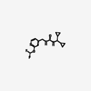 O=C(NCc1ccnc(OC(F)F)c1)NC(C1CC1)C1CC1